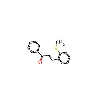 CSc1ccccc1/C=C/C(=O)c1ccccc1